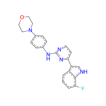 Fc1cccc2c(-c3ccnc(Nc4ccc(N5CCOCC5)cc4)n3)c[nH]c12